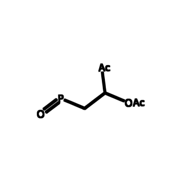 CC(=O)OC(CP=O)C(C)=O